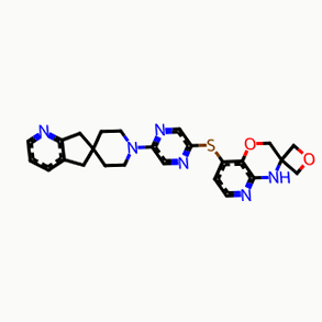 c1cnc2c(c1)CC1(CCN(c3cnc(Sc4ccnc5c4OCC4(COC4)N5)cn3)CC1)C2